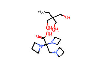 CCC(CO)(CO)CO.O=C(O)C(CN1CCC1)(N1CCC1)N1CCC1